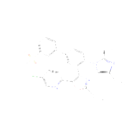 Cc1cn(-c2ccc(-c3cccc(S(C)(=O)=O)c3)cc2-c2nc(C)oc2-c2ccc(Cl)cn2)c(C)n1